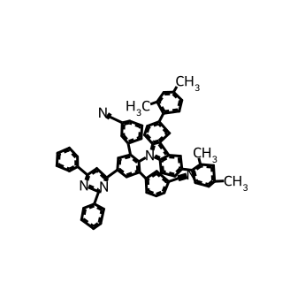 Cc1ccc(-c2ccc3c(c2)c2cc(-c4ccc(C)cc4C)ccc2n3-c2c(-c3cccc(C#N)c3)cc(-c3cc(-c4ccccc4)nc(-c4ccccc4)n3)cc2-c2cccc(C#N)c2)c(C)c1